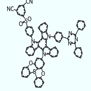 N#Cc1cc(C#N)cc(S(=O)(=O)c2ccc(-n3c4ccccc4c4c3c3c5ccccc5n(-c5ccc(-c6nc(-c7ccccc7)nc(-c7ccccc7)n6)cc5)c3c3c5ccccc5n(-c5cc6c7c(c5)Oc5ccccc5B7c5ccccc5O6)c34)cc2)c1